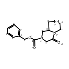 O=C(OCc1ccccc1)N1CC(=O)N2CCNCC2C1